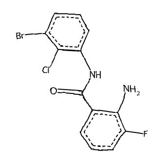 Nc1c(F)cccc1C(=O)Nc1cccc(Br)c1Cl